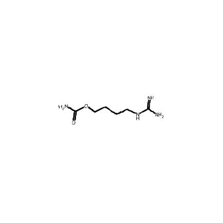 N=C(N)NCCCCOC(N)=O